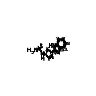 NC(=S)NN1C=CN(c2nc3ccccc3[nH]2)C1